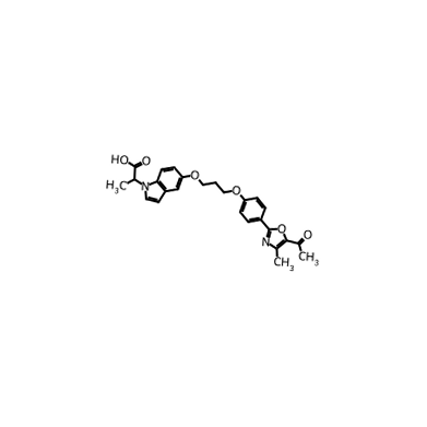 CC(=O)c1oc(-c2ccc(OCCCOc3ccc4c(ccn4C(C)C(=O)O)c3)cc2)nc1C